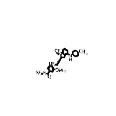 CNC(=O)c1ccc(NCC#Cc2cc3c(N[C@H]4CC[C@H](C)CC4)cccc3n2CC(F)(F)F)c(OC)c1